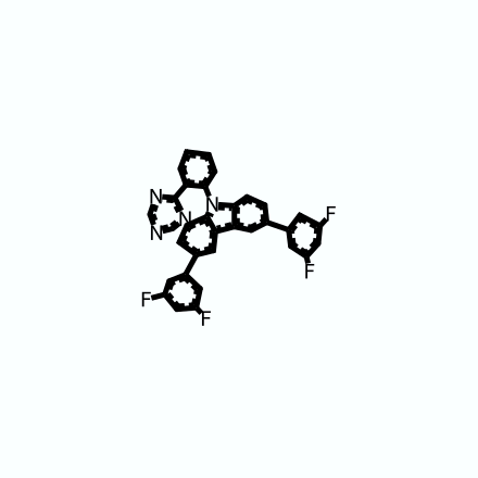 Fc1cc(F)cc(-c2ccc3c(c2)c2cc(-c4cc(F)cc(F)c4)ccc2n3-c2ccccc2-c2ncncn2)c1